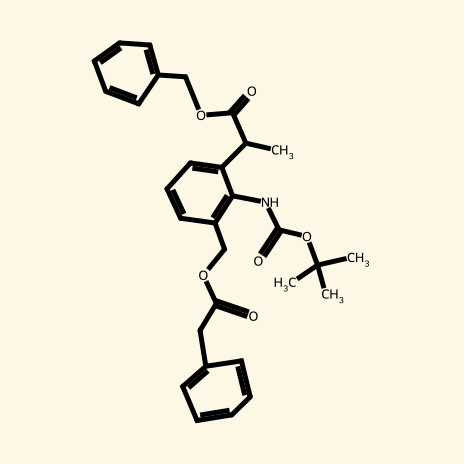 CC(C(=O)OCc1ccccc1)c1cccc(COC(=O)Cc2ccccc2)c1NC(=O)OC(C)(C)C